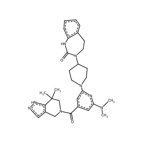 CN(C)c1cc(C(=O)N2Cc3cn[nH]c3C(C)(C)C2)cc(N2CCC(N3CCc4ccccc4NC3=O)CC2)n1